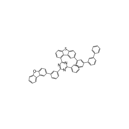 c1ccc(-c2cccc(-c3cccc(-c4ccc5sc6cccc(-c7nc(-c8ccccc8)nc(-c8cccc(-c9ccc%10oc%11ccccc%11c%10c9)c8)n7)c6c5c4)c3)c2)cc1